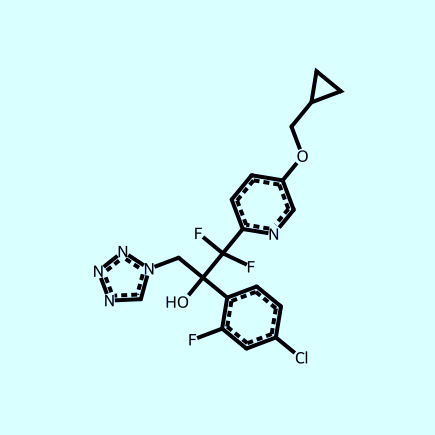 OC(Cn1cnnn1)(c1ccc(Cl)cc1F)C(F)(F)c1ccc(OCC2CC2)cn1